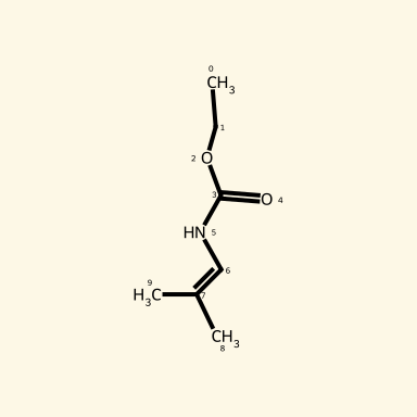 CCOC(=O)NC=C(C)C